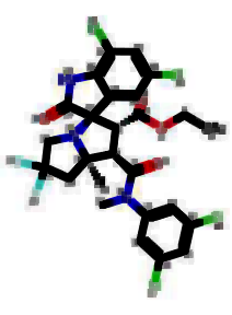 CC(=O)OCOC(=O)[C@@H]1[C@@H](C(=O)N(C)c2cc(Cl)cc(Cl)c2)[C@H]2CC(F)(F)CN2[C@]12C(=O)Nc1c(Cl)cc(Cl)cc12